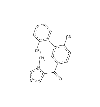 Cn1cncc1C(=O)c1ccc(C#N)c(-c2ccccc2C(F)(F)F)c1